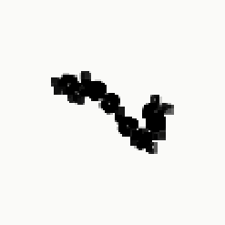 CCn1c(=O)ccc2cc(Nc3nc(N4CCC(COC5CCN(c6ccc7c(c6)C(=O)N(C6CCC(=O)NC6=O)C7=O)CC5)CC4)ncc3Cl)ccc21